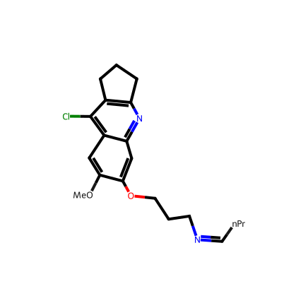 CCC/C=N\CCCOc1cc2nc3c(c(Cl)c2cc1OC)CCC3